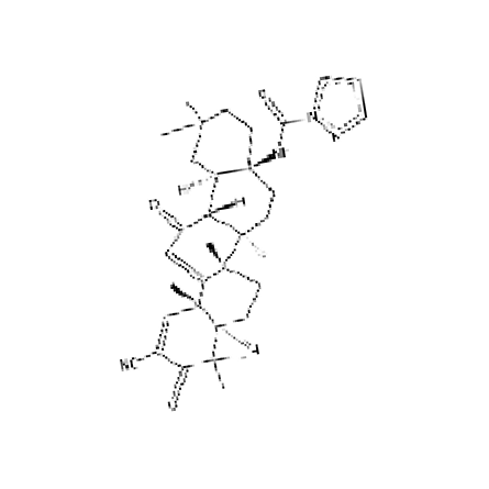 CC1(C)CC[C@]2(NC(=O)n3cccn3)CC[C@]3(C)[C@H](C(=O)C=C4[C@@]5(C)C=C(C#N)C(=O)C(C)(C)[C@@H]5CC[C@]43C)[C@H]2C1